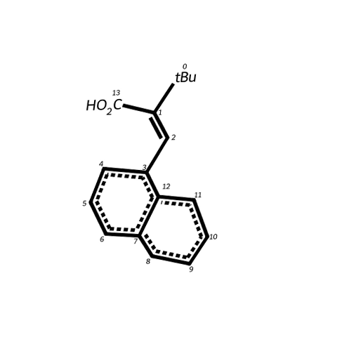 CC(C)(C)C(=Cc1cccc2ccccc12)C(=O)O